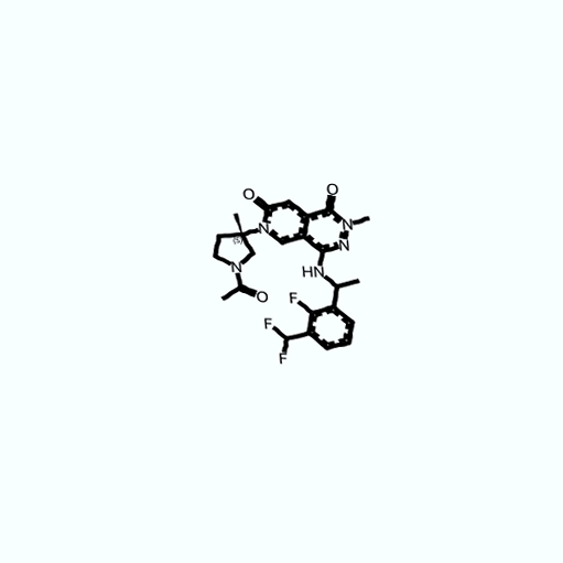 CC(=O)N1CC[C@](C)(n2cc3c(NC(C)c4cccc(C(F)F)c4F)nn(C)c(=O)c3cc2=O)C1